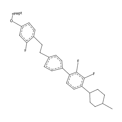 CCCCCCCOc1ccc(CCc2ccc(-c3ccc(C4CCC(C)CC4)c(F)c3F)cc2)c(F)c1